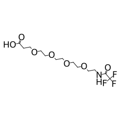 O=C(O)CCOCCOCCOCCOCCNC(=O)C(F)(F)F